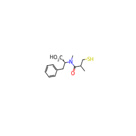 CC(CS)C(=O)N(C)[C@@H](Cc1ccccc1)C(=O)O